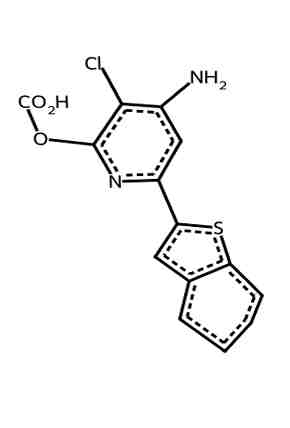 Nc1cc(-c2cc3ccccc3s2)nc(OC(=O)O)c1Cl